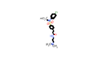 CN(C)CCCNC(=O)CCc1ccc(S(=O)(=O)N(CC(=O)O)c2ccc(Cl)cc2)cc1